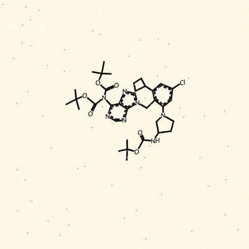 CC(C)(C)OC(=O)NC1CCN(c2cc(Cl)cc(C3CCC3)c2Cn2cnc3c(N(C(=O)OC(C)(C)C)C(=O)OC(C)(C)C)ncnc32)C1